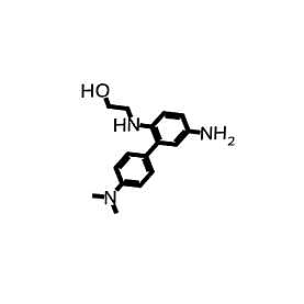 CN(C)c1ccc(-c2cc(N)ccc2NCCO)cc1